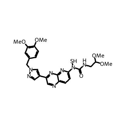 COc1ccc(Cn2cc(-c3cnc4ccc(N(S)C(=O)NCC(OC)OC)nc4n3)cn2)cc1OC